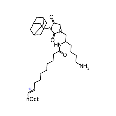 CCCCCCCC/C=C/CCCCCCCC(=O)NC(CCCCN)CN1CC(=O)N(C23CC4CC(CC(C4)C2)C3)C1=O